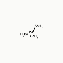 [BaH2].[GaH3].[SeH][SbH2]